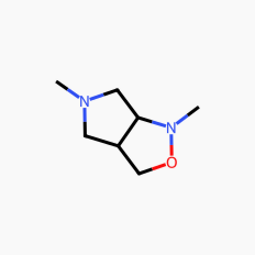 CN1CC2CON(C)C2C1